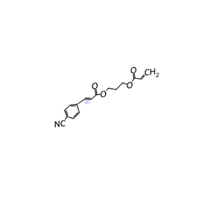 C=CC(=O)OCCCOC(=O)/C=C/c1ccc(C#N)cc1